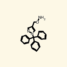 NOCc1cnn(C(c2ccccc2)(c2ccccc2)c2ccccc2)c1